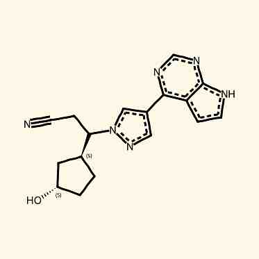 N#CCC([C@H]1CC[C@H](O)C1)n1cc(-c2ncnc3[nH]ccc23)cn1